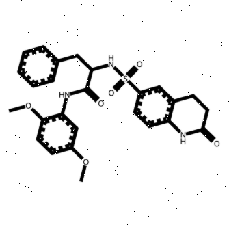 COc1ccc(OC)c(NC(=O)C(Cc2ccccc2)NS(=O)(=O)c2ccc3c(c2)CCC(=O)N3)c1